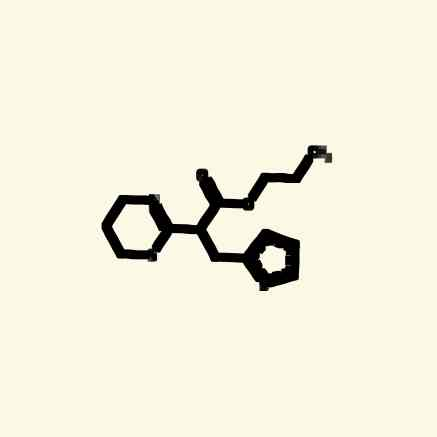 CCCOC(=O)C(Cc1cccs1)C1=NCCCS1